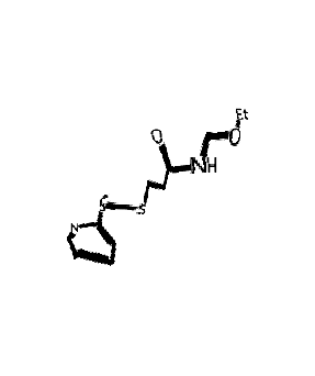 CCOCNC(=O)CCSSc1ccccn1